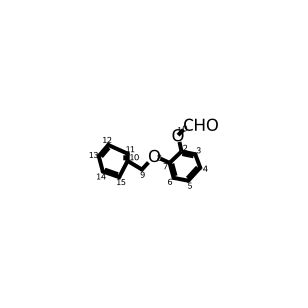 O=COc1ccccc1OCc1ccccc1